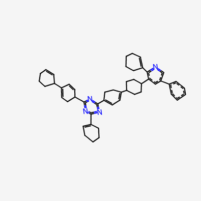 C1=CC(C2=CCC(c3nc(C4=CCCCC4)nc(C4=CC=C(C5CCC(c6cc(-c7ccccc7)cnc6C6=CCCCC6)CC5)CC4)n3)C=C2)CCC1